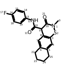 CN1Sc2cc3c(cc2C(C(=O)Nc2ccc(F)cc2)C1=O)CCCC3